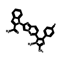 Cc1nc(-c2ccc(F)cc2)c(-c2ccc3nc(-n4c(C(N)=O)cc5ccccc54)cn3n2)n1C